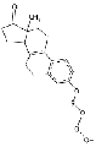 CC12CCC3=C(CCc4cc(OSOOO)ccc43)C1CCC2=O